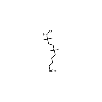 CCCCCCCCCCCC[N+](C)(C)CCC(C)(C)NCl